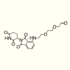 O=CCOCCOCCNc1cccc2c1C(=O)N(C1CCC(=O)NC1=O)C2=O